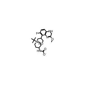 COC1=Nc2c(ccc(F)c2C(CO)C[N+]2(C(C)(C)C)CCC(NC(=O)[O-])CC2)NC1